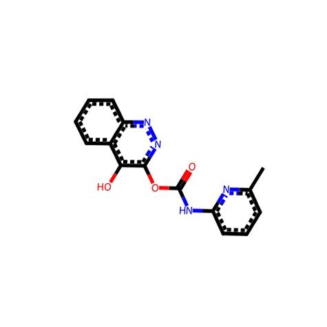 Cc1cccc(NC(=O)Oc2nnc3ccccc3c2O)n1